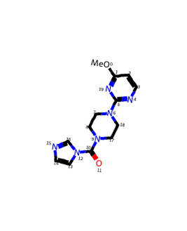 COc1ccnc(N2CCN(C(=O)n3ccnc3)CC2)n1